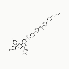 CCCCCC1CCC(c2ccc(C(=O)Oc3ccc(C4CCC(OC(=O)c5ccc6c7c(c(C(=O)OC(C)OC)c(C)c6c5)C=CC(c5ccc(F)cc5)(c5ccc(F)cc5)O7)CC4)cc3)cc2)CC1